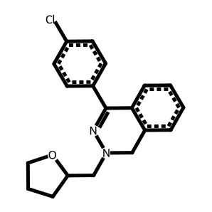 Clc1ccc(C2=NN(CC3CCCO3)Cc3ccccc32)cc1